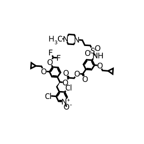 CN1CCN(CCCS(=O)(=O)Nc2ccc(C(=O)OCC(=O)O[C@@H](Cc3c(Cl)c[n+]([O-])cc3Cl)c3ccc(OC(F)F)c(OCC4CC4)c3)cc2OCC2CC2)CC1